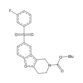 CC(C)(C)OC(=O)N1CCc2oc3ccc(S(=O)(=O)c4cccc(F)c4)cc3c2C1